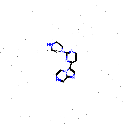 c1cn2c(-c3ccnc(N4CCNCC4)n3)cnc2cn1